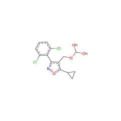 OC(O)OCc1c(-c2c(Cl)cccc2Cl)noc1C1CC1